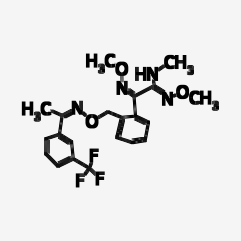 CNC(=NOC)C(=NOC)c1ccccc1CON=C(C)c1cccc(C(F)(F)F)c1